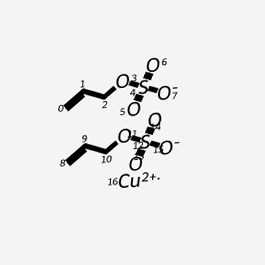 C=CCOS(=O)(=O)[O-].C=CCOS(=O)(=O)[O-].[Cu+2]